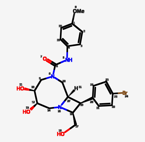 COc1ccc(NC(=O)N2C[C@H](O)[C@H](O)CN3[C@H](CO)[C@H](c4ccc(Br)cc4)[C@@H]3C2)cc1